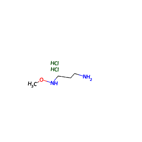 CONCCCN.Cl.Cl